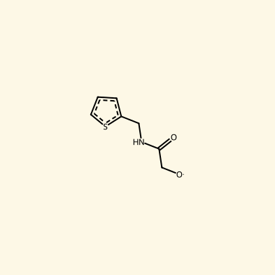 [O]CC(=O)NCc1cccs1